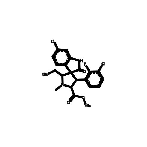 CN1C(C(=O)OC(C)(C)C)C(c2cccc(Cl)c2F)C2(C(=O)Nc3cc(Cl)ccc32)C1CC(C)(C)C